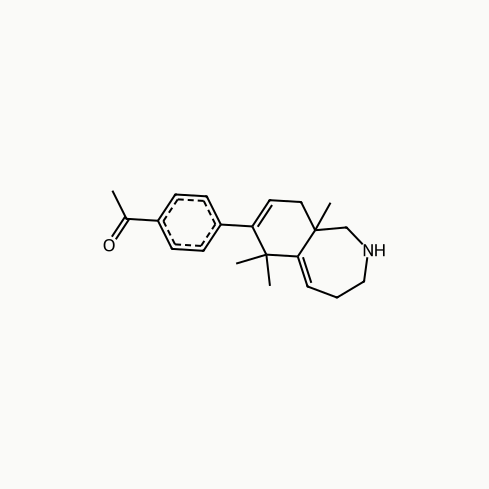 CC(=O)c1ccc(C2=CCC3(C)CNCCC=C3C2(C)C)cc1